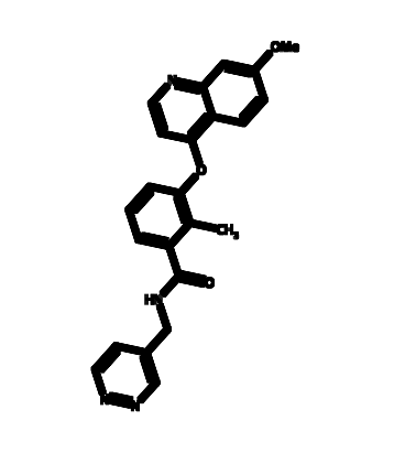 COc1ccc2c(Oc3cccc(C(=O)NCc4ccnnc4)c3C)ccnc2c1